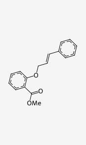 COC(=O)c1ccccc1OC/C=C/c1ccccc1